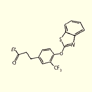 CCC(=O)CCc1ccc(Oc2nc3ccccc3s2)c(C(F)(F)F)c1